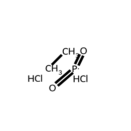 CC.Cl.Cl.O=[P]=O